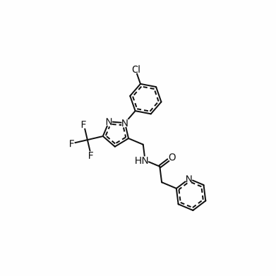 O=C(Cc1ccccn1)NCc1cc(C(F)(F)F)nn1-c1cccc(Cl)c1